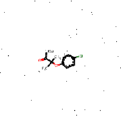 COC(=O)C(C)(Oc1ccc(Cl)cc1)C(F)(F)F